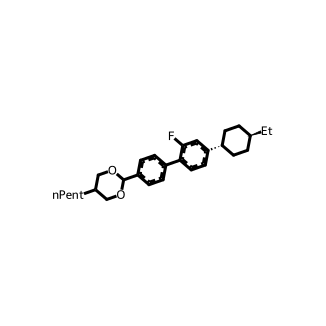 CCCCCC1COC(c2ccc(-c3ccc([C@H]4CC[C@H](CC)CC4)cc3F)cc2)OC1